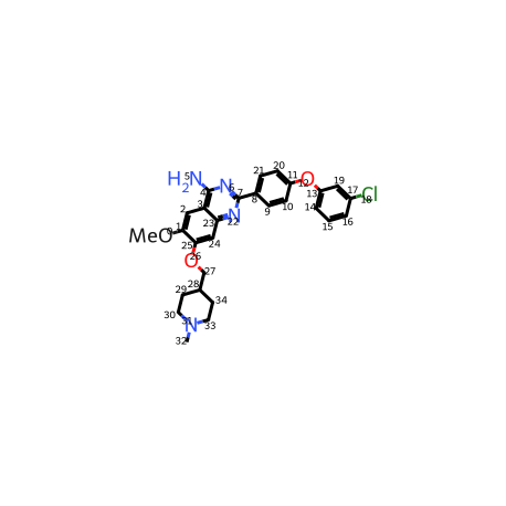 COc1cc2c(N)nc(-c3ccc(Oc4cccc(Cl)c4)cc3)nc2cc1OCC1CCN(C)CC1